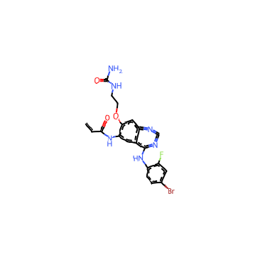 C=CC(=O)Nc1cc2c(Nc3ccc(Br)cc3F)ncnc2cc1OCCNC(N)=O